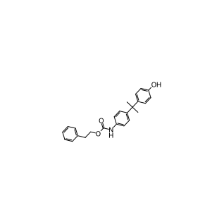 CC(C)(c1ccc(O)cc1)c1ccc(NC(=O)OCCc2ccccc2)cc1